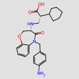 Nc1ccc(CN2C(=O)[C@@H](NC[C@H](C(=O)O)C3CCCCC3)COc3ccccc32)cc1